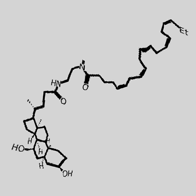 CC/C=C\C/C=C\C/C=C\C/C=C\C/C=C\CCCC(=O)N(C)CCNC(=O)CC[C@@H](C)C1CC[C@H]2[C@@H]3[C@H](O)C[C@@H]4C[C@H](O)CC[C@]4(C)[C@H]3CC[C@]12C